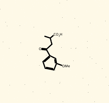 COc1cccc(C(=O)CC(C)C(=O)O)c1